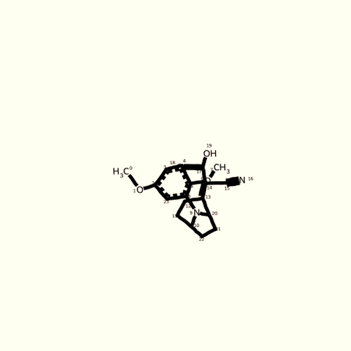 COc1ccc(OC)c(N2C3CCC(=C(C#N)C(=O)O)C2CC3)c1